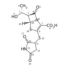 C[C@@H](O)[C@H]1C(=O)N2C(C(=O)O)=C(SC3CC(=O)NC3=O)S[C@H]12